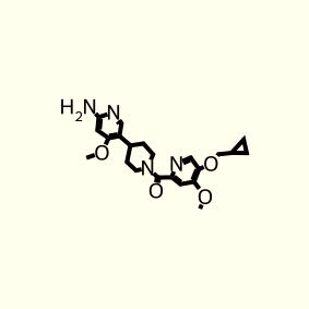 COc1cc(C(=O)N2CCC(c3cnc(N)cc3OC)CC2)ncc1OCC1CC1